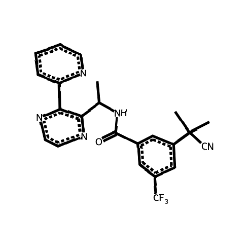 CC(NC(=O)c1cc(C(F)(F)F)cc(C(C)(C)C#N)c1)c1nccnc1-c1ccccn1